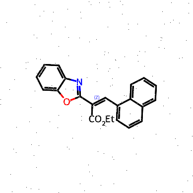 CCOC(=O)/C(=C\c1cccc2ccccc12)c1nc2ccccc2o1